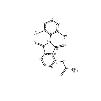 CC(C)c1cccc(C(C)C)c1N1C(=O)c2cccc(CC(N)=O)c2C1=O